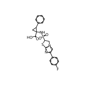 O=C(O)C1(NS(=O)(=O)C2Cn3cc(-c4ccc(F)cc4)nc3S2)CC1c1ccccc1